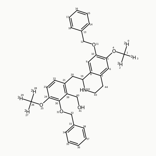 [2H]C([2H])([2H])Oc1cc2c(cc1OCc1ccccc1)C(Cc1ccc(OC([2H])([2H])[2H])c(OCc3ccccc3)c1CO)NCC2